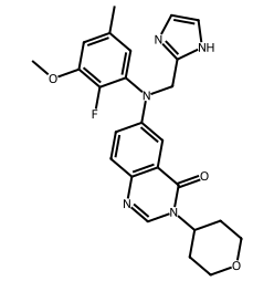 COc1cc(C)cc(N(Cc2ncc[nH]2)c2ccc3ncn(C4CCOCC4)c(=O)c3c2)c1F